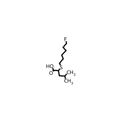 CC(C)CC(SCCCCCCF)C(=O)O